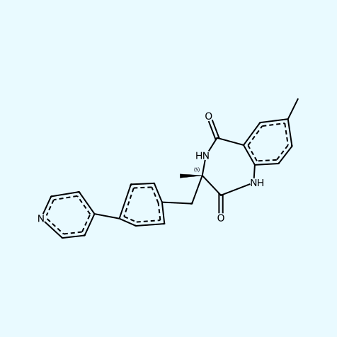 Cc1ccc2c(c1)C(=O)N[C@@](C)(Cc1ccc(-c3ccncc3)cc1)C(=O)N2